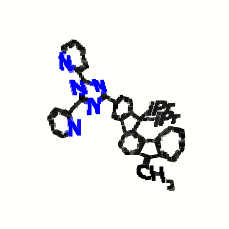 C=C1c2ccccc2-c2c1ccc1c2C(C(C)C)(C(C)C)c2ccc(-c3nc(-c4ccccn4)nc(-c4ccccn4)n3)cc2-1